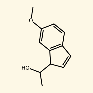 COc1ccc2c(c1)C(C(C)O)C=C2